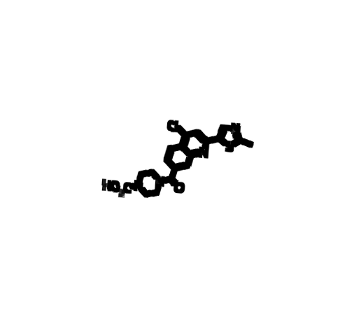 Cc1ncc(-c2cc(Cl)c3ccc(C(=O)N4CCN(C(=O)O)CC4)cc3n2)s1